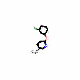 Fc1cccc(Oc2ccc(C(Cl)(Cl)Cl)cn2)c1